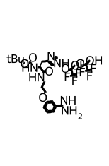 CC(C)(C)OC(=O)N[C@@H](Cc1c[nH]cn1)C(=O)NCCCOc1cccc(C(=N)N)c1.O=C(O)C(F)(F)F.O=C(O)C(F)(F)F